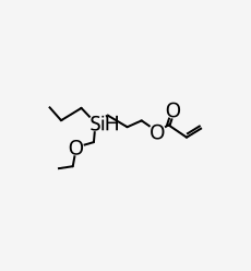 C=CC(=O)OCCC[SiH](CCC)COCC